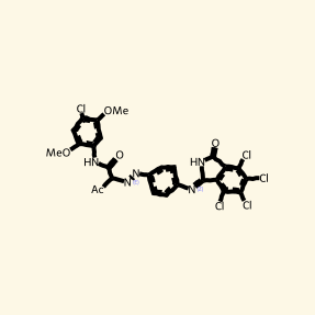 COc1cc(NC(=O)C(/N=N/c2ccc(/N=C3\NC(=O)c4c(Cl)c(Cl)c(Cl)c(Cl)c43)cc2)C(C)=O)c(OC)cc1Cl